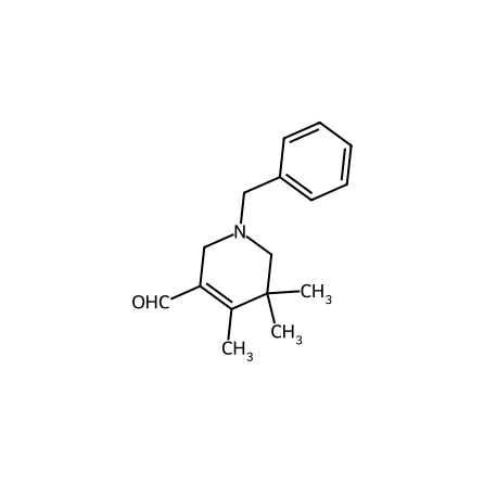 CC1=C(C=O)CN(Cc2ccccc2)CC1(C)C